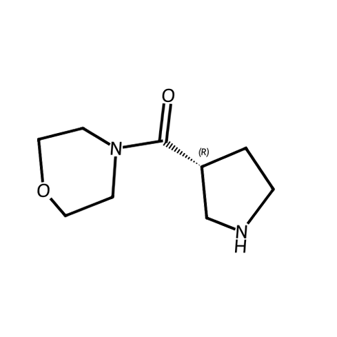 O=C([C@@H]1CCNC1)N1CCOCC1